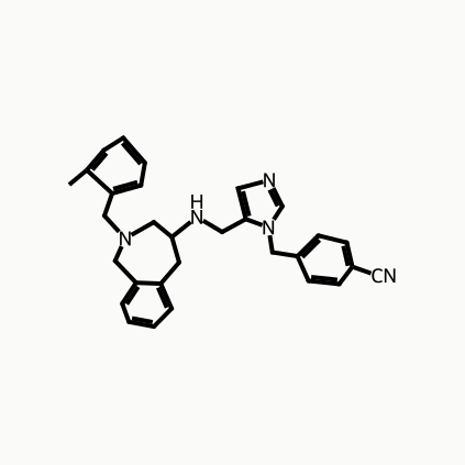 Cc1ccccc1CN1Cc2ccccc2CC(NCc2cncn2Cc2ccc(C#N)cc2)C1